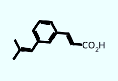 CC(C)=Cc1cccc(C=CC(=O)O)c1